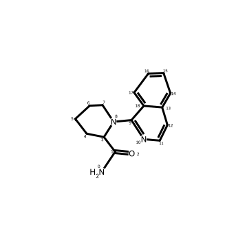 NC(=O)C1C[CH]CCN1c1nccc2ccccc12